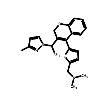 CC(C1=C(c2ccc(CN(C)C)s2)c2ccccc2OC1)n1ccc(I)n1